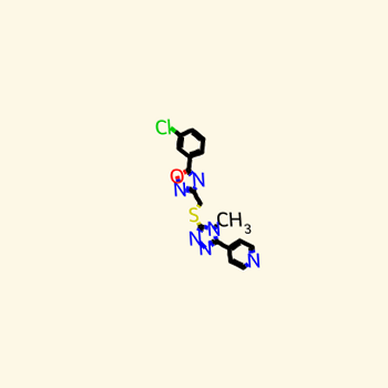 Cn1c(SCc2noc(-c3cccc(Cl)c3)n2)nnc1-c1ccncc1